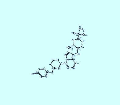 Cc1nn2c(C3CCCN(Cc4ccc(Cl)cc4)C3)ccnc2c1CN1CCN(S(C)(=O)=O)CC1